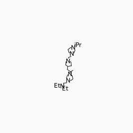 CCN(CC)CCN1CCCN(C(C)CC2CCN(CCN3CCCN(C(C)C)CC3)CC2)CC1